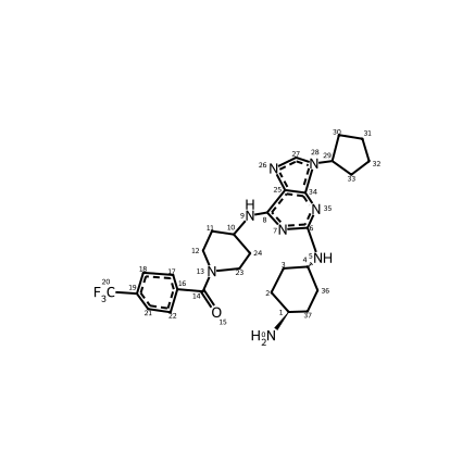 N[C@H]1CC[C@H](Nc2nc(NC3CCN(C(=O)c4ccc(C(F)(F)F)cc4)CC3)c3ncn(C4CCCC4)c3n2)CC1